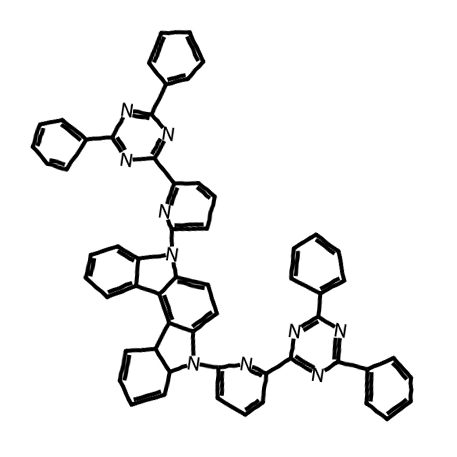 C1=CC2c3c(ccc4c3c3ccccc3n4-c3cccc(-c4nc(-c5ccccc5)nc(-c5ccccc5)n4)n3)N(c3cccc(-c4nc(-c5ccccc5)nc(-c5ccccc5)n4)n3)C2C=C1